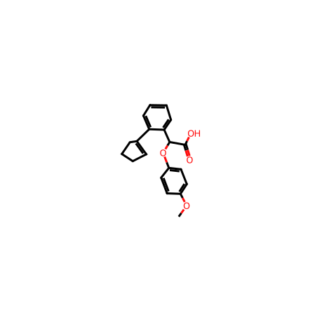 COc1ccc(OC(C(=O)O)c2ccccc2C2=CCCC2)cc1